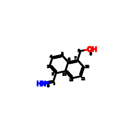 N=Cc1cccc2c(CO)cccc12